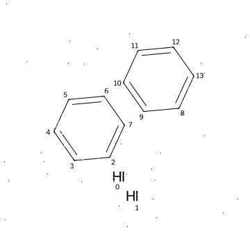 I.I.c1ccccc1.c1ccccc1